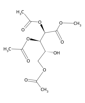 COC(=O)[C@H](OC(C)=O)[C@H](OC(C)=O)[C@H](O)COC(C)=O